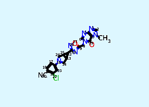 Cn1cnc2ncn(Cc3nc(C4C5CN(c6ccc(C#N)c(Cl)c6)CC54)no3)c(=O)c21